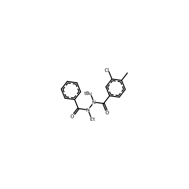 CCN(C(=O)c1ccccc1)N(C(=O)c1ccc(C)c(Cl)c1)C(C)(C)C